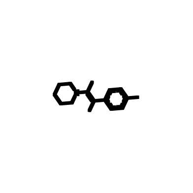 C/C(=C(/C)N1CCCCC1)c1ccc(C)cc1